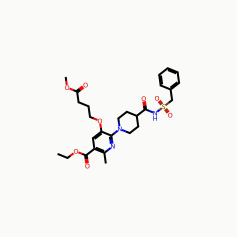 CCOC(=O)c1cc(OCCCC(=O)OC)c(N2CCC(C(=O)NS(=O)(=O)Cc3ccccc3)CC2)nc1C